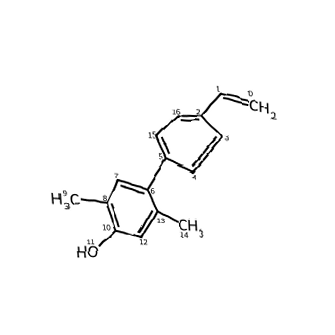 C=Cc1ccc(-c2cc(C)c(O)cc2C)cc1